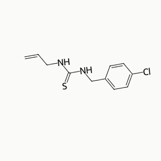 C=CCNC(=S)NCc1ccc(Cl)cc1